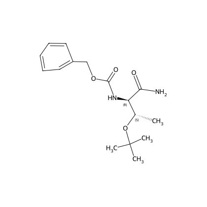 C[C@H](OC(C)(C)C)[C@@H](NC(=O)OCc1ccccc1)C(N)=O